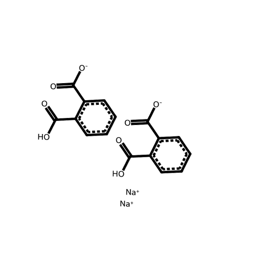 O=C([O-])c1ccccc1C(=O)O.O=C([O-])c1ccccc1C(=O)O.[Na+].[Na+]